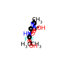 Cc1ccc(N2c3cccc(C(=O)Nc4cc(F)c(OCC(C)(C)O)c(F)c4)c3OC[C@@H]2CO)nc1